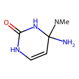 CNC1(N)C=CNC(=O)N1